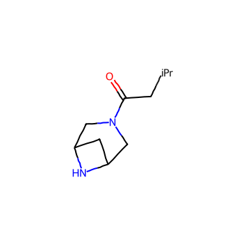 CC(C)CC(=O)N1CC2CC(C1)N2